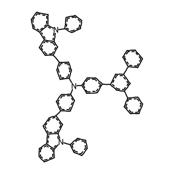 c1ccc(-c2cc(-c3ccccc3)cc(-c3ccc(N(c4ccc(-c5ccc6c7ccccc7n(-c7ccccc7)c6c5)cc4)c4ccc(-c5ccc6c7ccccc7n(-c7ccccc7)c6c5)cc4)cc3)c2)cc1